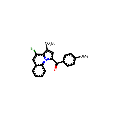 CCOC(=O)c1cc(C(=O)c2ccc(OC)cc2)n2c1c(Br)cc1ccccc12